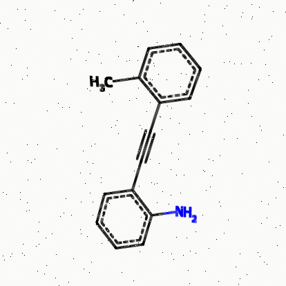 Cc1ccccc1C#Cc1ccccc1N